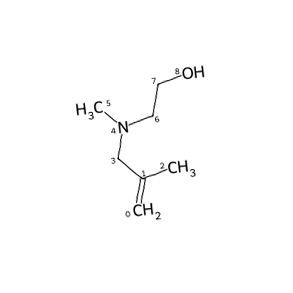 C=C(C)CN(C)CCO